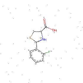 O=C(O)C1CSC(c2ccccc2F)N1